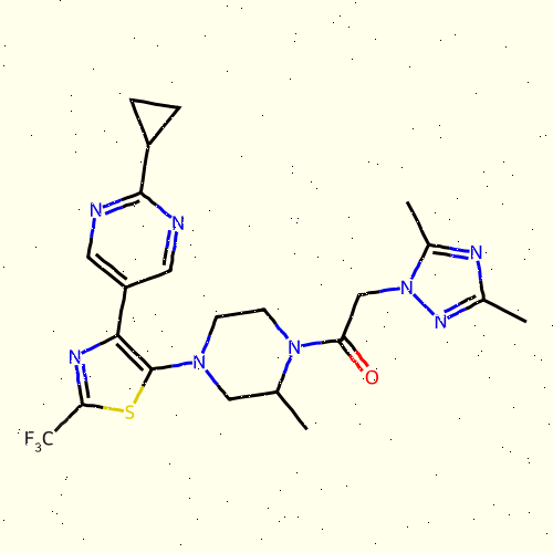 Cc1nc(C)n(CC(=O)N2CCN(c3sc(C(F)(F)F)nc3-c3cnc(C4CC4)nc3)CC2C)n1